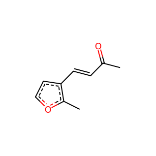 CC(=O)C=Cc1ccoc1C